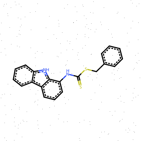 S=C(Nc1cccc2c1[nH]c1ccccc12)SCc1ccccc1